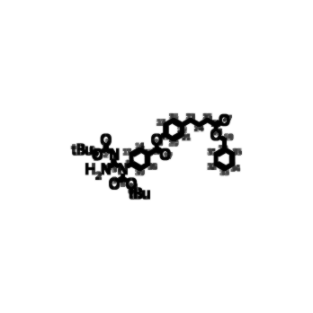 CC(C)(C)OC(=O)N=C(N)N(C(=O)OC(C)(C)C)c1ccc(C(=O)Oc2ccc(CCCC(=O)OCc3ccccc3)cc2)cc1